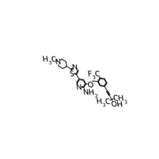 CN1CCC(c2ncc(-c3cnc(N)c(OCc4cc(C#CC(C)(C)O)ccc4C(F)(F)F)c3)s2)CC1